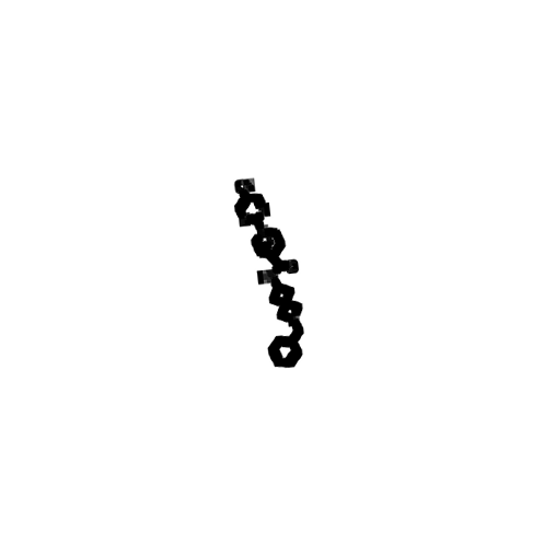 N#Cc1cnc(N2CC3CCC2CN3C(=O)NC2CC3(C2)CN(Cc2ccccc2)C3)nc1